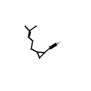 CC(C)=CCCC1CC1C#N